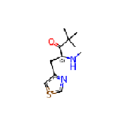 CN[C@@H](Cc1cscn1)C(=O)C(C)(C)C